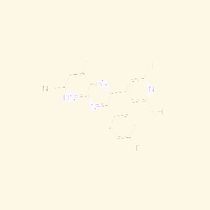 Cc1cc(-c2nc3c(=O)cc(C#N)[nH]c3nc2-c2ccc(F)cc2)cc(Cl)n1